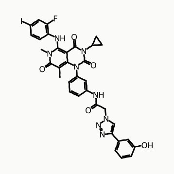 Cc1c(=O)n(C)c(Nc2ccc(I)cc2F)c2c(=O)n(C3CC3)c(=O)n(-c3cccc(NC(=O)Cn4cc(-c5cccc(O)c5)nn4)c3)c12